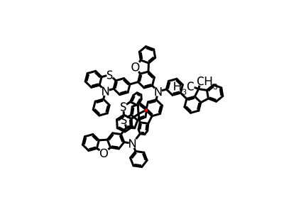 CC1(C)c2ccccc2-c2cccc(-c3cccc(N(c4ccc5c(c4)C4(c6ccccc6Sc6ccccc64)c4cc(N(c6ccccc6)c6cc7oc8ccccc8c7cc6-c6cc7ccccc7s6)ccc4-5)c4cc(-c5ccc6c(c5)Sc5ccccc5N6c5ccccc5)c5oc6ccccc6c5c4)c3)c21